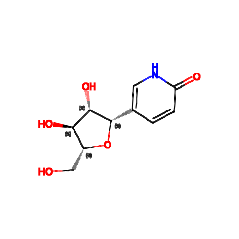 O=c1ccc([C@@H]2O[C@H](CO)[C@@H](O)[C@@H]2O)c[nH]1